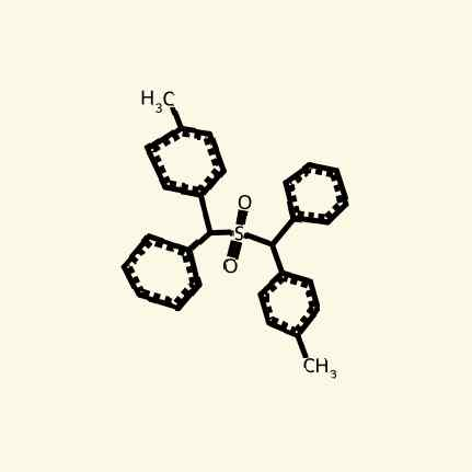 Cc1ccc(C(c2ccccc2)S(=O)(=O)C(c2ccccc2)c2ccc(C)cc2)cc1